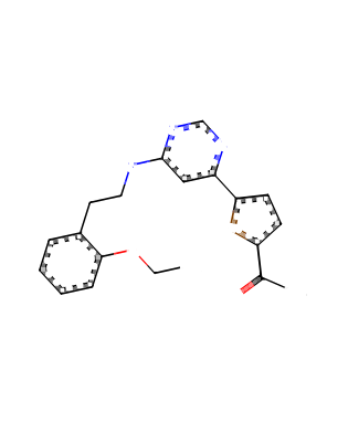 CCOc1ccccc1CCNc1cc(-c2ccc(C(C)=O)s2)ncn1